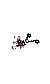 C=CCN1CC[C@]23c4c5c(O)cc(OC)c4O[C@H]2[C@H](N(CCCCCCc2ccccc2)CCCc2ccccc2)CC[C@H]3[C@H]1C5